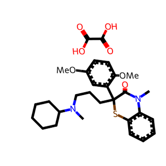 COc1ccc(OC)c(C2(CCCN(C)C3CCCCC3)Sc3ccccc3N(C)C2=O)c1.O=C(O)C(=O)O